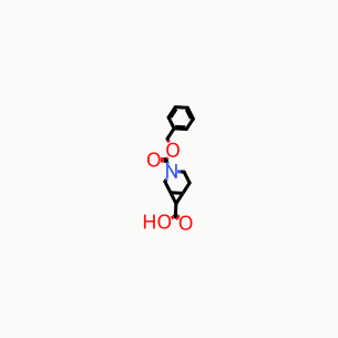 O=C(O)C1C2CCN(C(=O)OCc3ccccc3)CC21